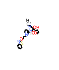 CC#CC(O)(C(=O)N[C@H]1C[N+]2(CCCOc3nc4ccccc4s3)CCC1CC2)c1ccco1